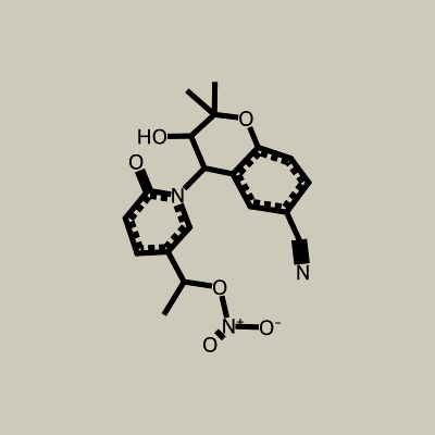 CC(O[N+](=O)[O-])c1ccc(=O)n(C2c3cc(C#N)ccc3OC(C)(C)C2O)c1